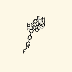 O=C(NC1NC=CS1)C(c1cc(F)ccc1O)N1Cc2c(F)cc(-c3ccc(C4CCN(CCF)CC4)cc3)cc2C1=O